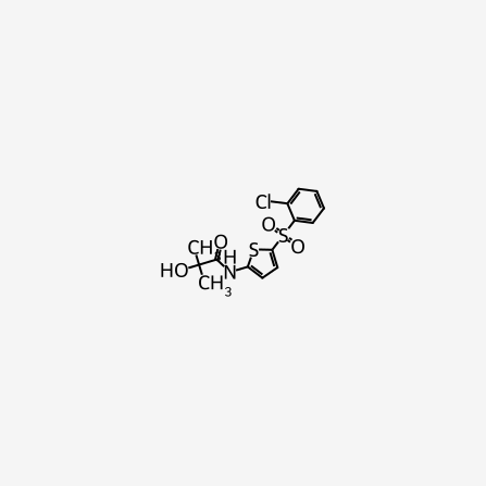 CC(C)(O)C(=O)Nc1ccc(S(=O)(=O)c2ccccc2Cl)s1